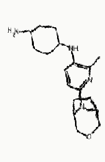 Cc1nc(N2C3CCC2COC3)ccc1NC1CCC(N)CC1